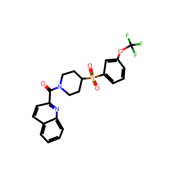 O=C(c1ccc2ccccc2n1)N1CCC(S(=O)(=O)c2cccc(OC(F)(F)F)c2)CC1